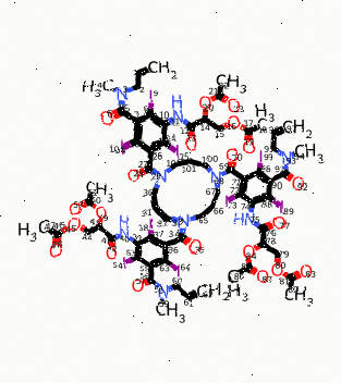 C=CCN(C)C(=O)c1c(I)c(NC(=O)C(COC(C)=O)OC(C)=O)c(I)c(C(=O)N2CCCN(C(=O)c3c(I)c(NC(=O)C(COC(C)=O)OC(C)=O)c(I)c(C(=O)N(C)CC=C)c3I)CCCN(C(=O)c3c(I)c(NC(=O)C(COC(C)=O)OC(C)=O)c(I)c(C(=O)N(C)CC=C)c3I)CCC2)c1I